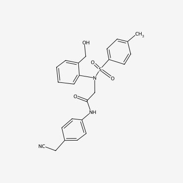 Cc1ccc(S(=O)(=O)N(CC(=O)Nc2ccc(CC#N)cc2)c2ccccc2CO)cc1